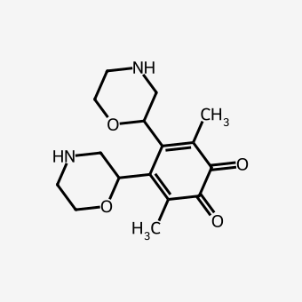 CC1=C(C2CNCCO2)C(C2CNCCO2)=C(C)C(=O)C1=O